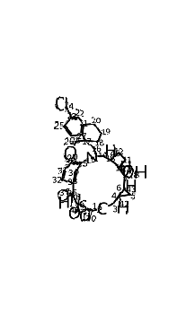 C[C@@H]1CC[C@H]2C[C@@H]2[C@](C)(O)[C@@H]2CC[C@H]2CN2C[C@@]3(CCCc4cc(Cl)ccc43)COc3ccc(cc32)C(=O)NS1(=O)=O